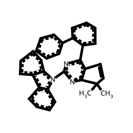 CC1(C)C=Cc2c(-c3ccccc3-c3ccccc3)nc(-n3c4ccccc4c4ccccc43)nc21